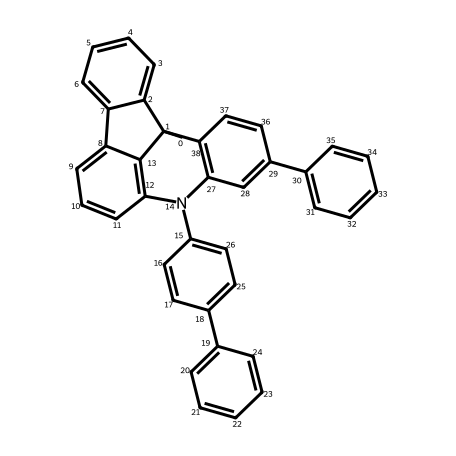 CC12c3ccccc3-c3cccc(c31)N(c1ccc(-c3ccccc3)cc1)c1cc(-c3ccccc3)ccc12